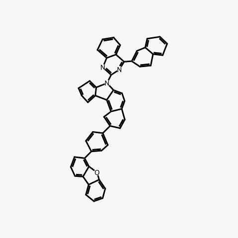 c1ccc2cc(-c3nc(-n4c5ccccc5c5c6cc(-c7ccc(-c8cccc9c8oc8ccccc89)cc7)ccc6ccc54)nc4ccccc34)ccc2c1